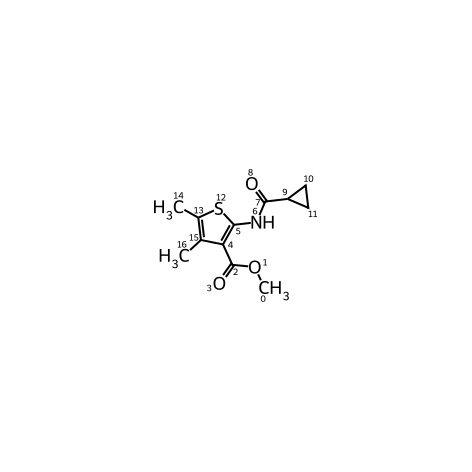 COC(=O)c1c(NC(=O)C2CC2)sc(C)c1C